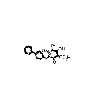 CCN1C(C(C)C)=C(O)C(C(=O)O)C(=O)N1Cc1ccc(-c2ccccc2)cc1